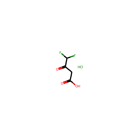 Cl.O=C(O)CC(=O)C(F)F